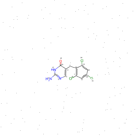 Nc1ncc(Cc2c(Cl)cc(Cl)cc2Cl)c(=O)[nH]1